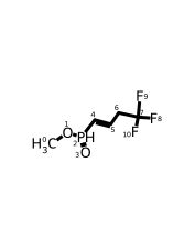 CO[PH](=O)C=CCC(F)(F)F